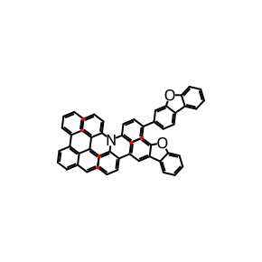 c1ccc(-c2cccc3cccc(-c4ccccc4N(c4ccc(-c5ccc6c(c5)oc5ccccc56)cc4)c4ccccc4-c4ccc5oc6ccccc6c5c4)c23)cc1